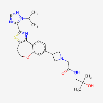 CC(C)n1ncnc1-c1nc2c(s1)CCOc1cc(C3CN(CC(=O)NCC(C)(C)O)C3)ccc1-2